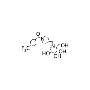 O=C(C1CCC(C(F)(F)F)CC1)N1CCC(CN2C[C@H](O)[C@@H](O)[C@H](O)[C@@H]2CO)CC1